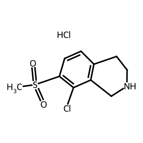 CS(=O)(=O)c1ccc2c(c1Cl)CNCC2.Cl